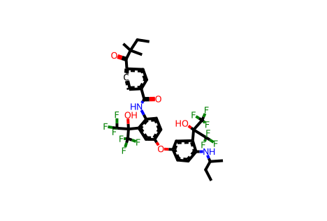 CCC(C)Nc1ccc(Oc2ccc(NC(=O)c3ccc(C(=O)C(C)(C)CC)cc3)c(C(O)(C(F)(F)F)C(F)(F)F)c2)cc1C(O)(C(F)(F)F)C(F)(F)F